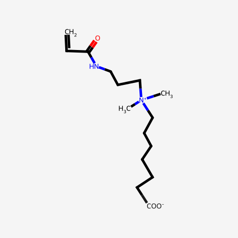 C=CC(=O)NCCC[N+](C)(C)CCCCCCC(=O)[O-]